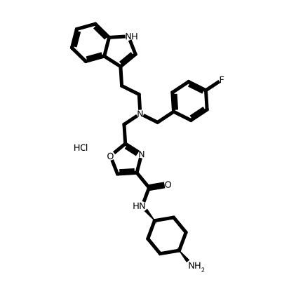 Cl.N[C@H]1CC[C@@H](NC(=O)c2coc(CN(CCc3c[nH]c4ccccc34)Cc3ccc(F)cc3)n2)CC1